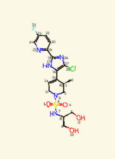 C[C@H]1CN(S(=O)(=O)NC(CO)CO)CC=C1c1[nH]c(-c2ccc(F)cn2)nc1Cl